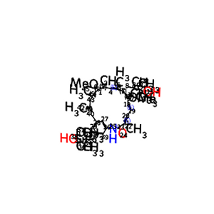 CO[C@@H]1[C@@H](C)/C=C(\C)[C@H](CC(C)(C)[Si](C)(C)O)[C@@H](OC)/C=C/C=C(\C)C(=O)Nc2cc(cc(CC(C)(C)[Si](C)(C)O)c2)C[C@@H](C)C[C@@H]1C